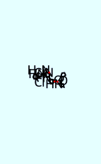 Nc1ncc(-c2cccc(CNC3(C(=O)OC4CCCC4)CCC3)c2)nc1NCc1c(Cl)cccc1Cl